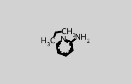 CCC.Nc1ccccn1